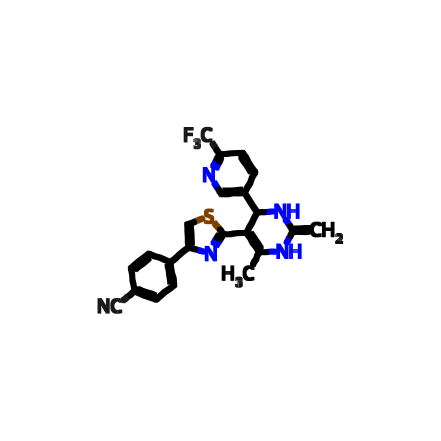 C=C1NC(C)=C(c2nc(-c3ccc(C#N)cc3)cs2)C(c2ccc(C(F)(F)F)nc2)N1